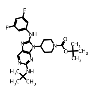 CC(C)(C)Nc1ncc2nc(Nc3cc(F)cc(F)c3)n(C3CCN(C(=O)OC(C)(C)C)CC3)c2n1